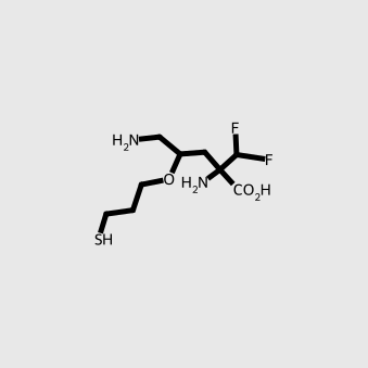 NCC(CC(N)(C(=O)O)C(F)F)OCCCS